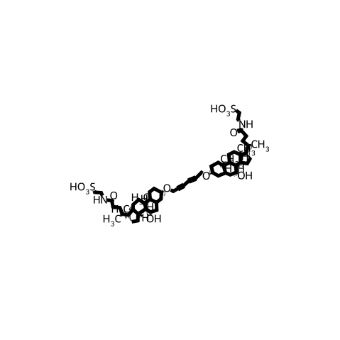 C[C@H](CCC(=O)NCCS(=O)(=O)O)[C@H]1CC[C@H]2[C@@H]3[C@@H](O)CC4C[C@H](OCC#CC#CCO[C@@H]5CC[C@@]6(C)C(C5)C[C@H](O)[C@H]5[C@@H]7CC[C@H]([C@H](C)CCC(=O)NCCS(=O)(=O)O)[C@@]7(C)CC[C@@H]56)CC[C@]4(C)[C@H]3CC[C@]12C